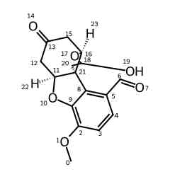 COc1ccc(C=O)c2c1O[C@H]1CC(=O)C[C@@H]3OC(O)C[C@]213